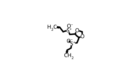 C=CC[S+]([O-])CC1OCOC1C[S+]([O-])CC=C